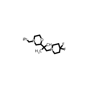 CC(C)CN1CCOC(C(C)(C)CN2CCC(F)(F)CC2)C1